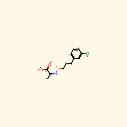 CC(=NOCCCc1cccc(Cl)c1)C(=O)O